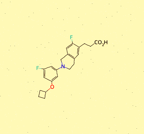 O=C(O)CCc1cc2c(cc1F)CN(c1cc(F)cc(OC3CCC3)c1)CC2